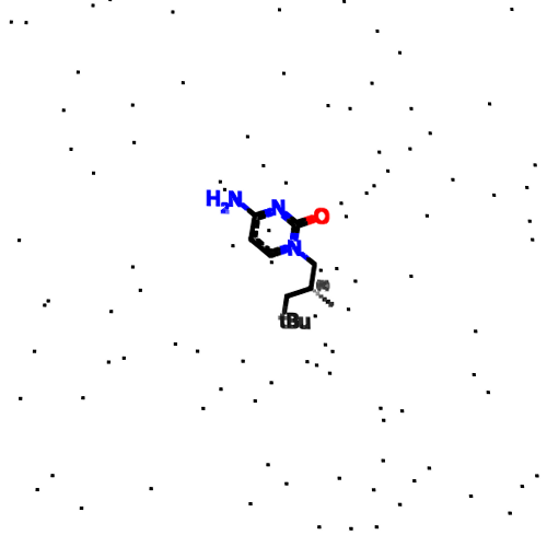 C[C@@H](Cn1ccc(N)nc1=O)CC(C)(C)C